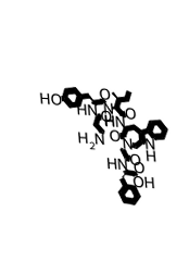 CC[C@H](C)[C@H](NC(=O)[C@H](Cc1ccc(O)cc1)NC(=O)CCN)C(=O)N[C@H]1Cc2c([nH]c3ccccc23)CN(CC(=O)N[C@@H](Cc2ccccc2)C(=O)O)C1=O